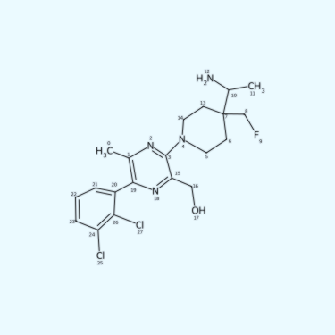 Cc1nc(N2CCC(CF)(C(C)N)CC2)c(CO)nc1-c1cccc(Cl)c1Cl